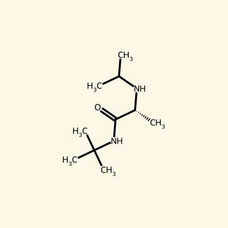 CC(C)N[C@H](C)C(=O)NC(C)(C)C